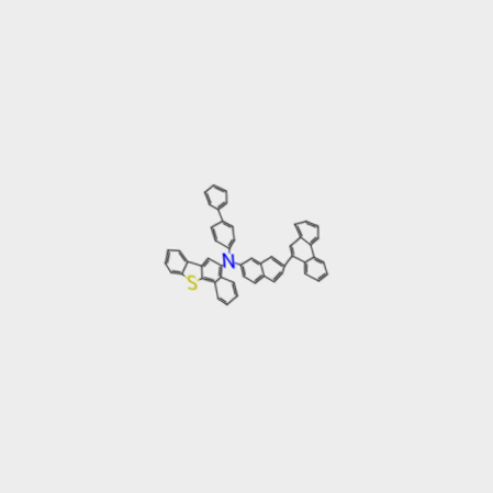 c1ccc(-c2ccc(N(c3ccc4ccc(-c5cc6ccccc6c6ccccc56)cc4c3)c3cc4c5ccccc5sc4c4ccccc34)cc2)cc1